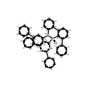 O=P1(c2nc(-c3ccccc3)nc(-c3ccccc3)n2)c2c(-c3ccccc3)cccc2-c2ccccc2N1c1cccc(-c2ccccc2)c1